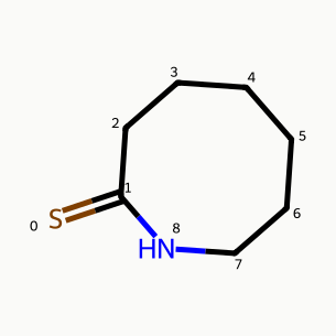 S=C1CCCCCCN1